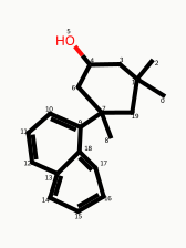 CC1(C)CC(O)CC(C)(c2cccc3ccccc23)C1